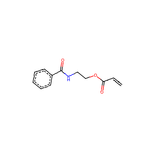 C=CC(=O)OCCNC(=O)c1ccccc1